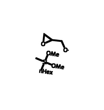 CCCCCC[Si](C)(OC)OC.[O]CC1CO1